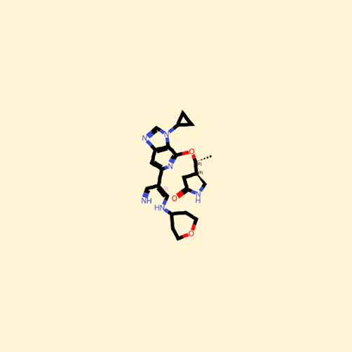 C[C@@H](Oc1nc(/C(C=N)=C/NC2CCOCC2)cc2ncn(C3CC3)c12)[C@H]1CNC(=O)C1